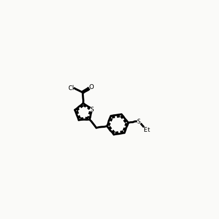 CCSc1ccc(Cc2ccc(C(=O)Cl)s2)cc1